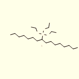 CCCCCCCCC(CCCCCCC)[Si](OCC)(OCC)OCC.F